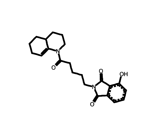 O=C(CCCCN1C(=O)c2cccc(O)c2C1=O)N1CCCC2CCCC=C21